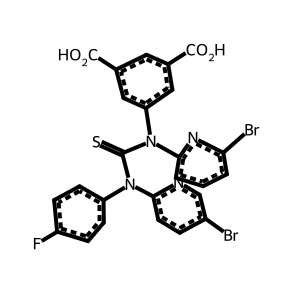 O=C(O)c1cc(C(=O)O)cc(N(C(=S)N(c2ccc(F)cc2)c2ccc(Br)cn2)c2cccc(Br)n2)c1